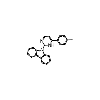 Cc1ccc(C2=CC=NC(n3c4ccccc4c4ccccc43)N2)cc1